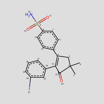 CC1(C)CC(c2ccc(S(N)(=O)=O)cc2)=C(c2cccc(I)c2)C1=O